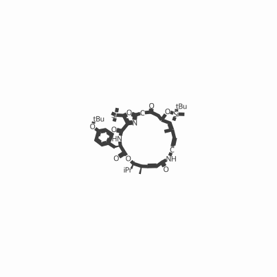 CC1=C\C(O[Si](C)(C)C(C)(C)C)CC(=O)Cc2nc(c([Si](C)(C)C)o2)C(=O)N[C@H](Cc2ccc(OC(C)(C)C)cc2)C(=O)O[C@H](C(C)C)[C@H](C)/C=C/C(=O)NC\C=C\1